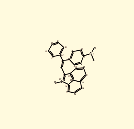 CN(C)c1ccc(C(=CC2=[N+](C)c3cccc4cccc2c34)c2ccccc2)cc1